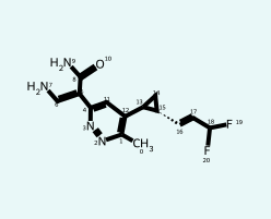 Cc1nnc(/C(=C/N)C(N)=O)cc1C1C[C@@H]1/C=C/C(F)F